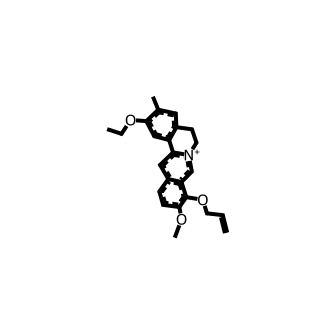 C=CCOc1c(OC)ccc2cc3[n+](cc12)CCc1cc(C)c(OCC)cc1-3